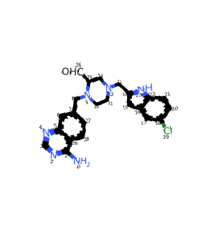 Nc1ncnc2cc(CN3CCN(Cc4cc5cc(Cl)ccc5[nH]4)CC3C=O)ccc12